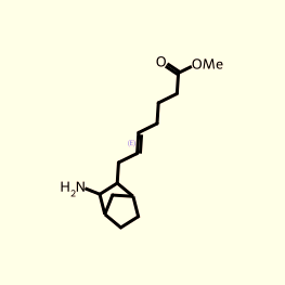 COC(=O)CCC/C=C/CC1C2CCC(C2)C1N